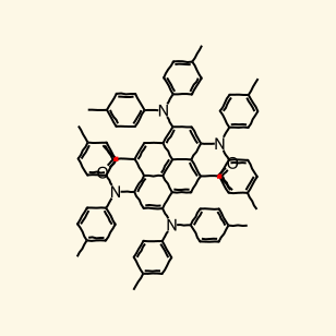 CC(=O)c1cc2c(N(c3ccc(C)cc3)c3ccc(C)cc3)cc(N(c3ccc(C)cc3)c3ccc(C)cc3)c3c(C(C)=O)cc4c(N(c5ccc(C)cc5)c5ccc(C)cc5)cc(N(c5ccc(C)cc5)c5ccc(C)cc5)c1c4c23